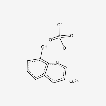 O=S(=O)([O-])[O-].Oc1cccc2cccnc12.[Cu+2]